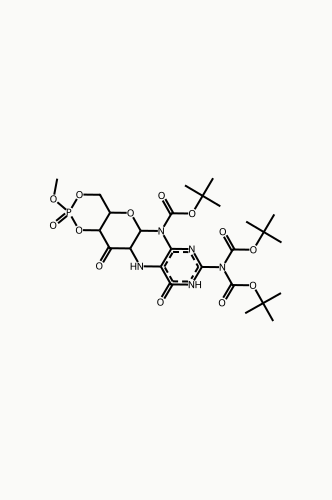 COP1(=O)OCC2OC3C(Nc4c(nc(N(C(=O)OC(C)(C)C)C(=O)OC(C)(C)C)[nH]c4=O)N3C(=O)OC(C)(C)C)C(=O)C2O1